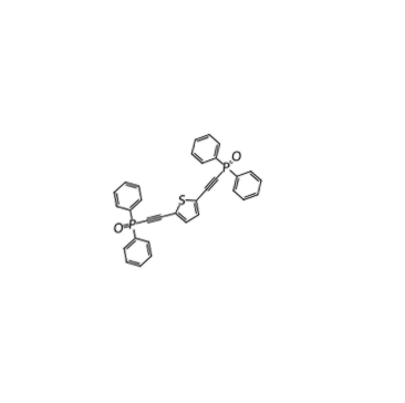 O=P(C#Cc1ccc(C#CP(=O)(c2ccccc2)c2ccccc2)s1)(c1ccccc1)c1ccccc1